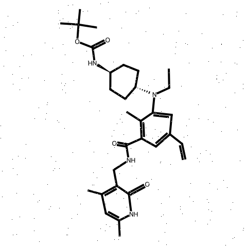 C=Cc1cc(C(=O)NCc2c(C)cc(C)[nH]c2=O)c(C)c(N(CC)[C@H]2CC[C@H](NC(=O)OC(C)(C)C)CC2)c1